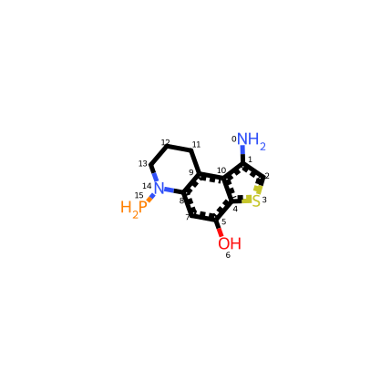 Nc1csc2c(O)cc3c(c12)CCCN3P